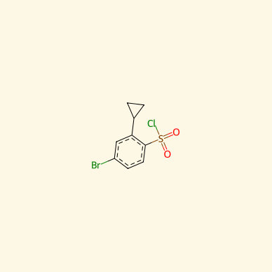 O=S(=O)(Cl)c1ccc(Br)cc1C1CC1